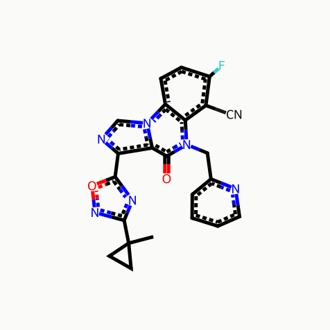 CC1(c2noc(-c3ncn4c3c(=O)n(Cc3ccccn3)c3c(C#N)c(F)ccc34)n2)CC1